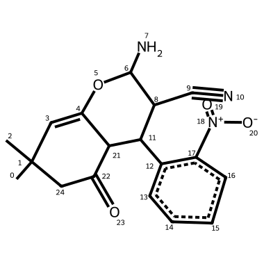 CC1(C)C=C2OC(N)C(C#N)C(c3ccccc3[N+](=O)[O-])C2C(=O)C1